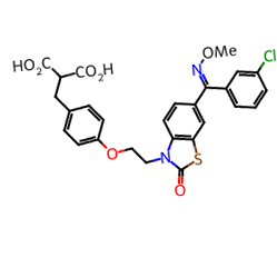 CON=C(c1cccc(Cl)c1)c1ccc2c(c1)sc(=O)n2CCOc1ccc(CC(C(=O)O)C(=O)O)cc1